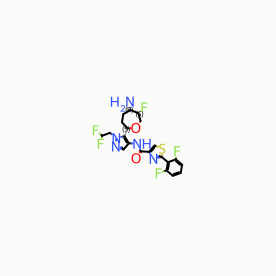 N[C@@H]1CC[C@@H](c2c(NC(=O)c3csc(-c4c(F)cccc4F)n3)cnn2CC(F)F)OC[C@H]1F